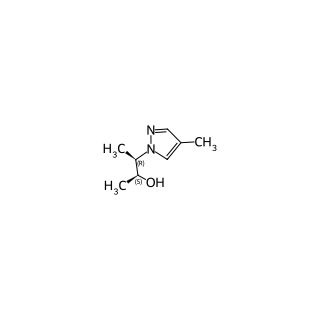 Cc1cnn([C@H](C)[C@H](C)O)c1